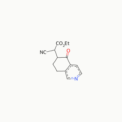 CCOC(=O)C(C#N)C1CCc2cnccc2C1=O